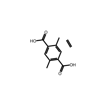 C=C.Cc1cc(C(=O)O)c(C)cc1C(=O)O